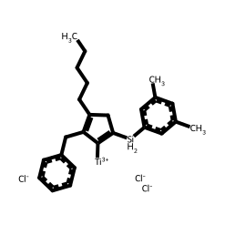 CCCCCC1=C(Cc2ccccc2)[C]([Ti+3])=C([SiH2]c2cc(C)cc(C)c2)C1.[Cl-].[Cl-].[Cl-]